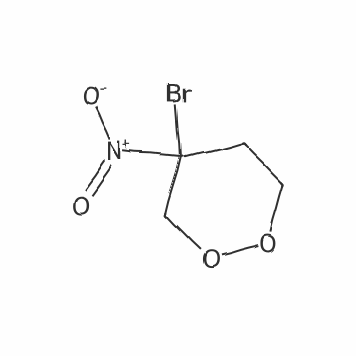 O=[N+]([O-])C1(Br)CCOOC1